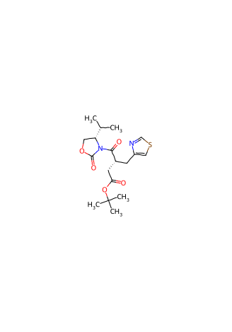 CC(C)[C@H]1COC(=O)N1C(=O)[C@@H](CC(=O)OC(C)(C)C)Cc1cscn1